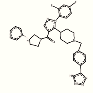 O=C(c1cnn(-c2ccc(F)cc2F)c1C1CCN(Cc2ccc(-c3nnn[nH]3)cc2)CC1)N1CC[C@H](c2ccccc2)C1